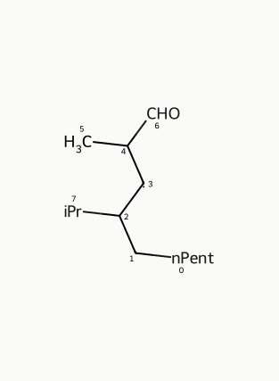 CCCCCCC([CH]C(C)C=O)C(C)C